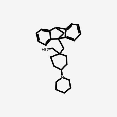 OCC1(CC23CC(c4ccccc42)c2ccccc23)CCC(N2CCCCC2)CC1